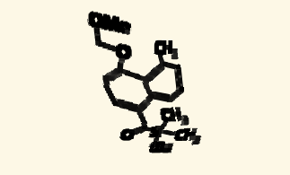 COCOc1ccc(C(=O)[Si](C)(C)C(C)(C)C)c2cccc(C)c12